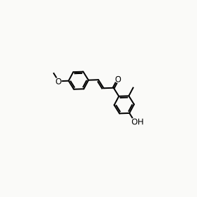 COc1ccc(C=CC(=O)c2ccc(O)cc2C)cc1